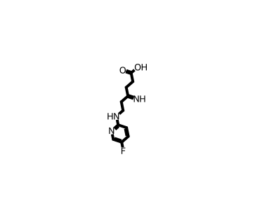 N=C(CCNc1ccc(F)cn1)CCC(=O)O